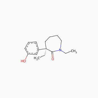 CCN1CCCC[C@](CC)(c2cccc(O)c2)C1=O